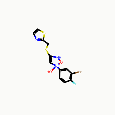 O[N+]1(c2ccc(F)c(Br)c2)C=C(SCc2nccs2)NO1